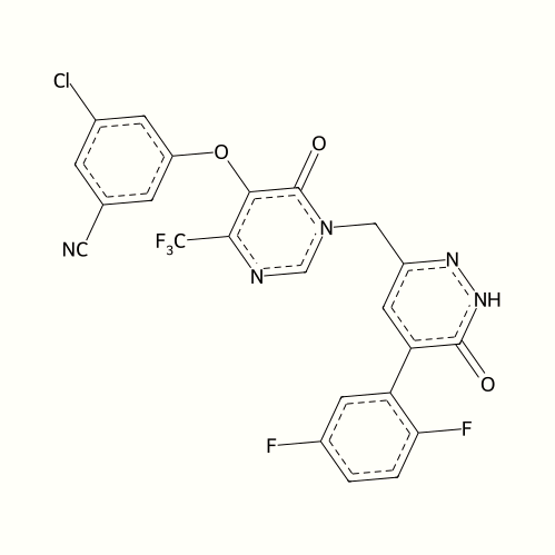 N#Cc1cc(Cl)cc(Oc2c(C(F)(F)F)ncn(Cc3cc(-c4cc(F)ccc4F)c(=O)[nH]n3)c2=O)c1